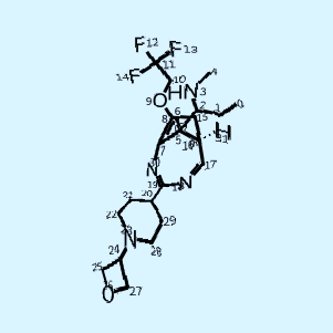 CCC(NC)[C@@]1(C)C2=C(OCC(F)(F)F)C[C@H]1C=NC(C1CCN(C3COC3)CC1)=N2